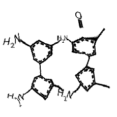 C=O.Cc1cc(N)cc(-c2cc(C)cc(N)c2)c1.Cc1cc(N)cc(-c2cc(C)cc(N)c2)c1